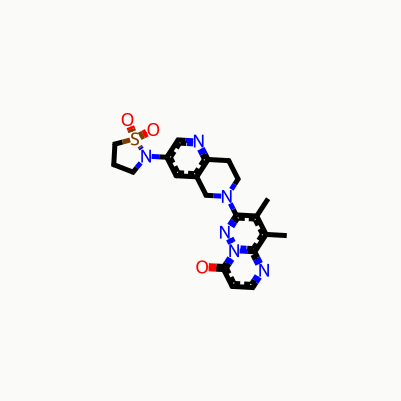 Cc1c(N2CCc3ncc(N4CCCS4(=O)=O)cc3C2)nn2c(=O)ccnc2c1C